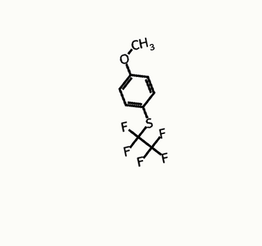 COc1ccc(SC(F)(F)C(F)(F)F)cc1